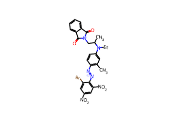 CCN(c1ccc(/N=N/c2c(Br)cc([N+](=O)[O-])cc2[N+](=O)[O-])c(C)c1)C(C)CN1C(=O)c2ccccc2C1=O